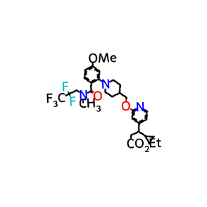 CCOC(=O)CC(c1ccnc(OCC2CCN(c3cc(OC)ccc3C(=O)N(C)CC(F)(F)C(F)(F)F)CC2)c1)C1CC1